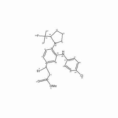 CCC(CC(=O)OC)c1ccc(N2CCCC2C(C)(C)F)c(Nc2ccc(Cl)cc2)c1